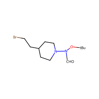 CC(C)(C)ON(C=O)N1CCC(CCBr)CC1